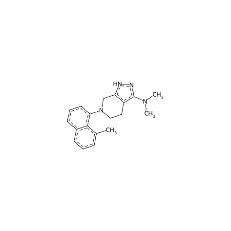 Cc1cccc2cccc(N3CCc4c(N(C)C)n[nH]c4C3)c12